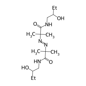 CCC(O)CNC(=O)C(C)(C)N=NC(C)(C)C(=O)NCC(O)CC